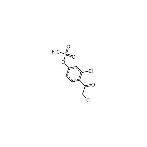 O=C(CCl)c1ccc(OS(=O)(=O)C(F)(F)F)cc1Cl